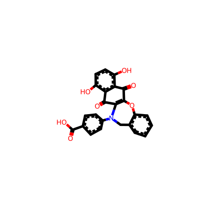 O=C(O)c1ccc(N2Cc3ccccc3OC3=C2C(=O)c2c(O)ccc(O)c2C3=O)cc1